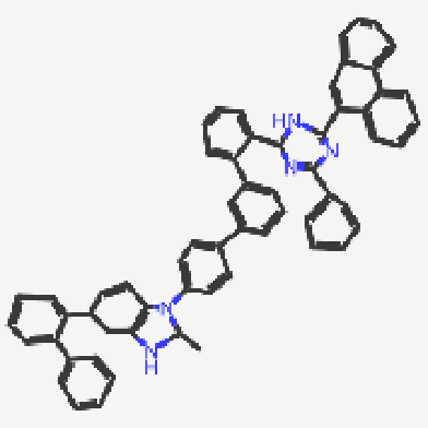 CC1NC2=C(C=CC(c3ccccc3-c3ccccc3)C2)N1c1ccc(-c2cccc(-c3ccccc3C3N=C(c4ccccc4)N=C(c4cc5ccccc5c5ccccc45)N3)c2)cc1